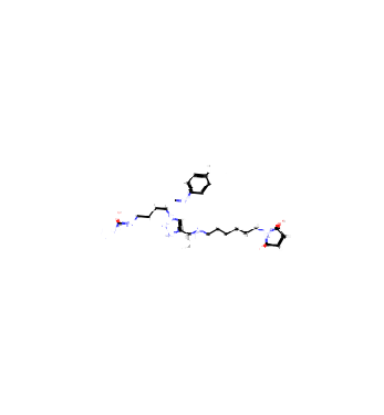 [CH2]c1ccc(NC[C@@H](CCCNC(N)=O)n2cc([C@@H](NCCCCCCN3C(=O)C=CC3=O)C(C)C)nn2)cc1